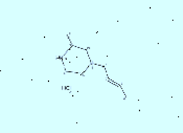 CC=CCN1CCNC(C)C1.Cl